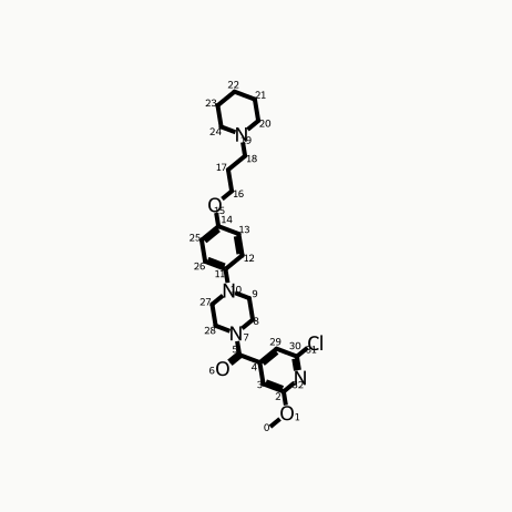 COc1cc(C(=O)N2CCN(c3ccc(OCCCN4CCCCC4)cc3)CC2)cc(Cl)n1